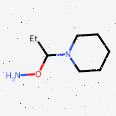 CCC(ON)N1CCCCC1